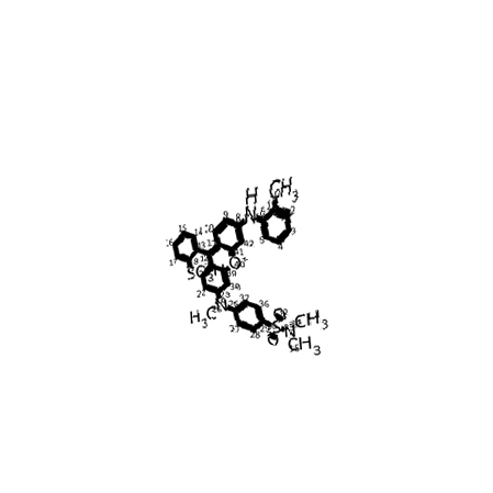 Cc1ccccc1Nc1ccc2c(-c3ccccc3S(=O)(=O)O)c3ccc(N(C)c4ccc(S(=O)(=O)N(C)C)cc4)cc3[o+]c2c1